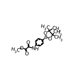 COC(=O)C(=O)Nc1ccc(B2OC(C)(C)C(C)(C)O2)cc1